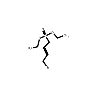 CCOP(=O)(CC=CCBr)OCC